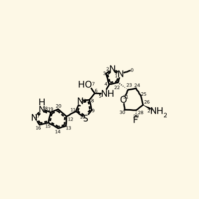 Cn1ncc(NC(O)c2csc(-c3ccc4cn[nH]c4c3)n2)c1[C@@H]1CC[C@@H](N)[C@H](F)CO1